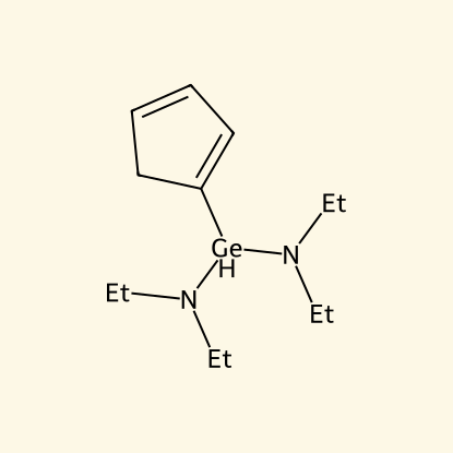 CC[N](CC)[GeH]([C]1=CC=CC1)[N](CC)CC